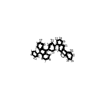 c1ccc(-c2c3ccccc3c(-c3ccc(-c4cccc5cc6c(cc45)oc4ccccc46)cc3)c3ccccc23)cc1